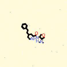 CN(C)[C@@H]1COC[C@H]1NC(=O)C1CC(CCc2ccccc2)CCN1